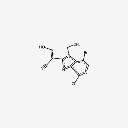 CCn1c(/C(C#N)=N/O)nc2c(Cl)ncc(Br)c21